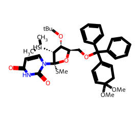 COC1(OC)C=CC(C(OC[C@H]2O[C@@](SC)(n3ccc(=O)[nH]c3=O)[C@H]([SiH](C)C)[C@@H]2OC(C)(C)C)(c2ccccc2)c2ccccc2)=CC1